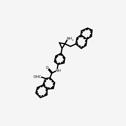 NC1(Cc2ccc3ccccc3c2)CC1c1ccc(NC(=O)c2ccc3ccccc3c2C=O)cc1